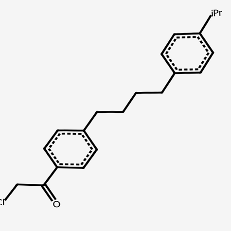 CC(C)c1ccc(CCCCc2ccc(C(=O)CCl)cc2)cc1